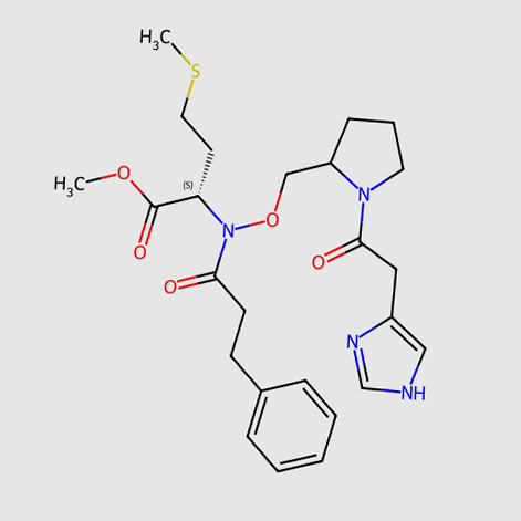 COC(=O)[C@H](CCSC)N(OCC1CCCN1C(=O)Cc1c[nH]cn1)C(=O)CCc1ccccc1